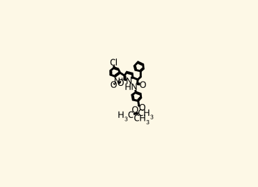 CC(C)(C)OC(=O)c1ccc(NC(=O)C(Cc2ccccc2)c2ccc(-c3cc(Cl)ccc3[N+](=O)[O-])cn2)cc1